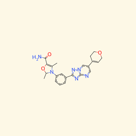 CC1=C(C(N)=O)OC(C)N1c1cccc(-c2nc3ncc(C4=CCOCC4)cn3n2)c1